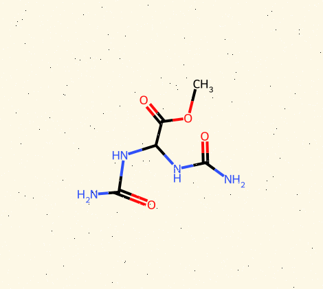 COC(=O)C(NC(N)=O)NC(N)=O